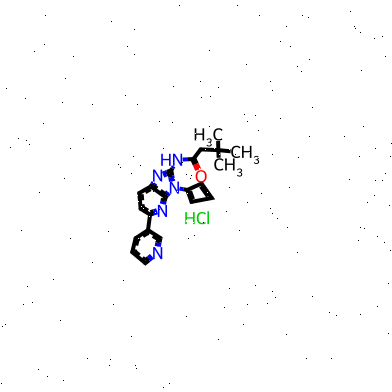 CC(C)(C)CC(=O)Nc1nc2ccc(-c3cccnc3)nc2n1C1=CC=C1.Cl